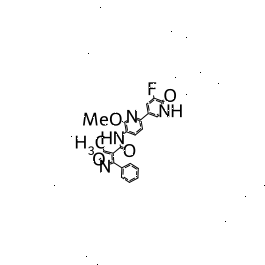 COc1nc(-c2c[nH]c(=O)c(F)c2)ccc1NC(=O)c1c(-c2ccccc2)noc1C